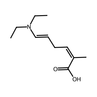 CCN(C=CCC=C(C)C(=O)O)CC